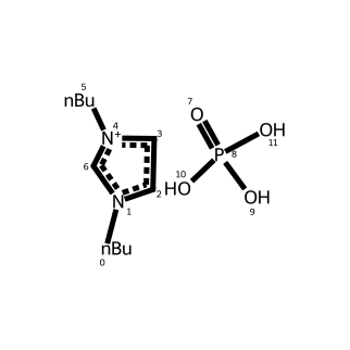 CCCCn1cc[n+](CCCC)c1.O=P(O)(O)O